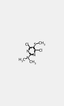 CSc1c(Cl)nc(N(C)C)nc1Cl